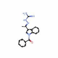 CC(=NNC(=N)N)c1cn(C(=O)c2ccccc2)c2ccccc12